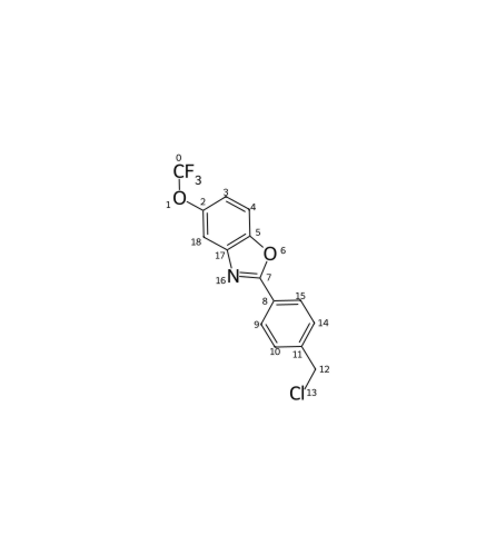 FC(F)(F)Oc1ccc2oc(-c3ccc(CCl)cc3)nc2c1